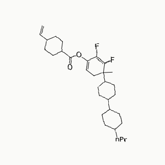 C=CC1CCC(C(=O)OC2=CCC(C)(C3CCC(C4CCC(CCC)CC4)CC3)C(F)=C2F)CC1